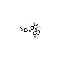 COc1ccc(Nc2cc(N(C)c3cccc4c3ccn4C)c(C(N)=O)cn2)cc1